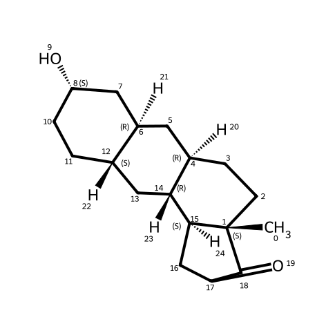 C[C@]12CC[C@@H]3C[C@@H]4C[C@@H](O)CC[C@H]4C[C@H]3[C@@H]1CCC2=O